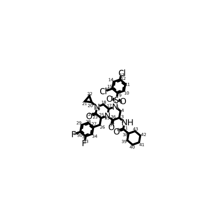 O=C(NC1CN(S(=O)(=O)c2ccc(Cl)cc2Cl)C2CN(C3CC3)C(=O)C(Cc3ccc(F)c(F)c3)N2C1=O)C1CCCCC1